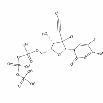 Nc1nc(=O)n([C@@H]2O[C@H](COP(=O)(O)OP(=O)(O)OP(=O)(O)O)[C@H](O)C2(Cl)C#CCl)cc1F